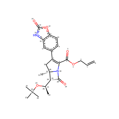 C=CCOC(=O)C1=C(c2ccc3oc(=O)[nH]c3c2)C[C@@H]2[C@@H]([C@@H](C)O[Si](C)(C)C)C(=O)N12